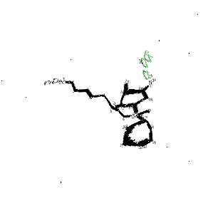 CCCCCCCCCCCCCCCCCC[Si](C)(C1=C(C)C(C)=[C]([Ti+3])C1)c1ccccc1.[Cl-].[Cl-].[Cl-]